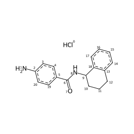 Cl.Nc1ccc(C(=O)NC2CCCc3ccccc32)cc1